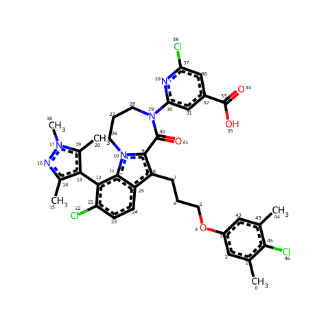 Cc1cc(OCCCc2c3n(c4c(-c5c(C)nn(C)c5C)c(Cl)ccc24)CCCN(c2cc(C(=O)O)cc(Cl)n2)C3=O)cc(C)c1Cl